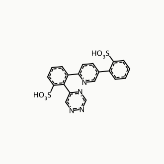 O=S(=O)(O)c1ccccc1-c1ccc(-c2cccc(S(=O)(=O)O)c2-c2cnncn2)nc1